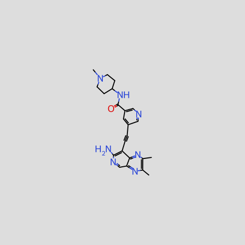 Cc1nc2cnc(N)c(C#Cc3cncc(C(=O)NC4CCN(C)CC4)c3)c2nc1C